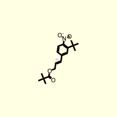 CC(C)(C)C(=O)OC/C=C/c1ccc([N+](=O)[O-])c(C(C)(C)C)c1